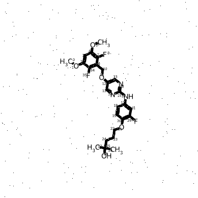 COc1cc(OC)c(F)c(COc2cnc(Nc3ccc(OCCCC(C)(C)O)c(F)c3)nc2)c1F